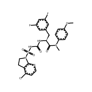 COc1ccc(N(C)C(=O)[C@H](Cc2cc(F)cc(F)c2)NC(=O)NS(=O)(=O)N2CCc3c(Cl)ccnc32)cc1